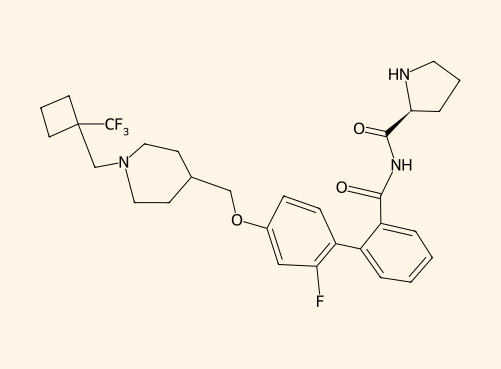 O=C(NC(=O)[C@@H]1CCCN1)c1ccccc1-c1ccc(OCC2CCN(CC3(C(F)(F)F)CCC3)CC2)cc1F